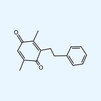 CC1=CC(=O)C(C)=C(CCc2ccccc2)C1=O